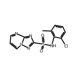 Cc1cccc(Cl)c1NS(=O)(=O)c1nc2ncccn2n1